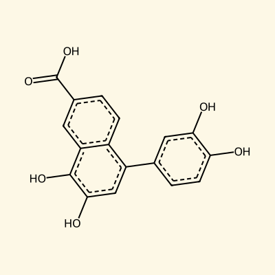 O=C(O)c1ccc2c(-c3ccc(O)c(O)c3)cc(O)c(O)c2c1